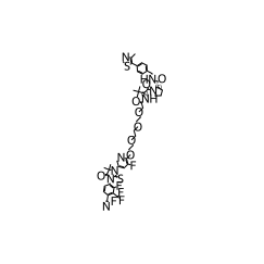 Cc1ncsc1-c1ccc(CNC(=O)[C@@H]2CCCN2C(=O)[C@@H](NC(=O)COCCOCCOCCOc2ncc(N3C(=S)N(c4ccc(C#N)c(C(F)(F)F)c4F)C(=O)C3(C)C)cc2F)C(C)(C)C)cc1